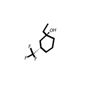 CC[C@]1(O)CCC[C@H](C(F)(F)F)C1